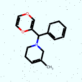 CC1=CCCN(C(C2=CC=CCC2)C2=COC=CO2)C1